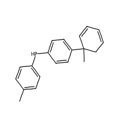 Cc1ccc(Pc2ccc(C3(C)C=CC=CC3)cc2)cc1